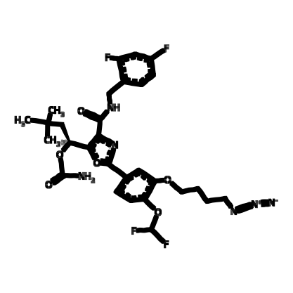 CC(C)(C)C[C@H](OC(N)=O)c1oc(-c2ccc(OC(F)F)c(OCCCCN=[N+]=[N-])c2)nc1C(=O)NCc1ccc(F)cc1F